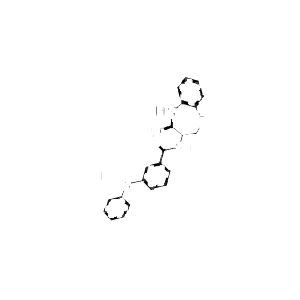 CN(c1ccccc1)c1cccc(C(=O)NC2COc3ccccc3NC2=O)c1